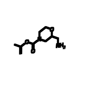 C=C(C)OC(=O)N1CCOC(CN)C1